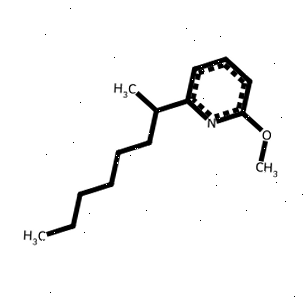 CCCCCCC(C)c1cccc(OC)n1